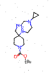 CC(C)(C)OC(=O)N1CCC(CN)(N2CCN(C3CC3)CC2)CC1